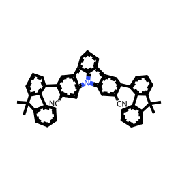 CC1(C)c2ccccc2-c2c(-c3cc4c5cccc6c7cc(-c8cccc9c8-c8ccccc8C9(C)C)c(C#N)cc7n(c4cc3C#N)c56)cccc21